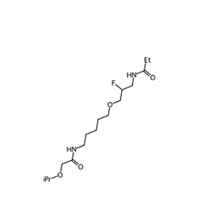 CCC(=O)NCC(F)COCCCCCNC(=O)COC(C)C